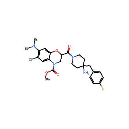 CCN(CC)c1cc2c(cc1Cl)N(C(=O)OC(C)(C)C)CC(C(=O)N1CCC(N)(Cc3ccc(F)cc3)CC1)O2